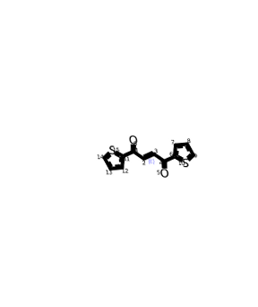 O=C(/C=C/C(=O)c1cccs1)c1cccs1